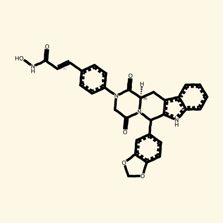 O=C(/C=C/c1ccc(N2CC(=O)N3C(c4ccc5c(c4)OCO5)c4[nH]c5ccccc5c4C[C@@H]3C2=O)cc1)NO